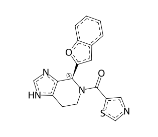 O=C(c1cncs1)N1CCc2[nH]cnc2[C@H]1c1cc2ccccc2o1